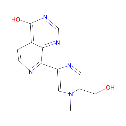 C=N/C(=C\N(C)CCO)c1nccc2c(O)ncnc12